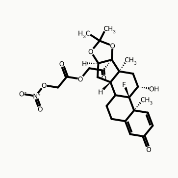 CC1(C)O[C@@H]2C[C@H]3C4CCC5=CC(=O)C=C[C@]5(C)[C@@]4(F)[C@@H](O)C[C@]3(C)[C@]2(C(=O)COC(=O)CO[N+](=O)[O-])O1